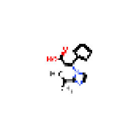 CC(C)c1nccn1C(CC(=O)O)c1ccccc1